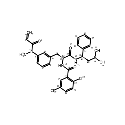 C=CC(=O)N(C)c1cccc(C[C@H](NC(=O)c2cc(Cl)ccc2Cl)C(=O)N[C@H](CB(O)O)c2ccccc2)c1